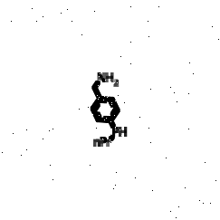 CCCPc1ccc(CN)cc1